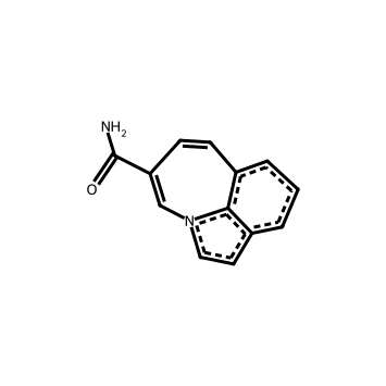 NC(=O)C1=Cn2ccc3cccc(c32)C=C1